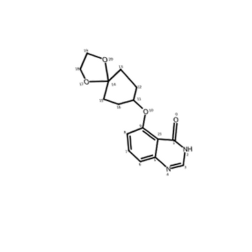 O=c1[nH]cnc2cccc(OC3CCC4(CC3)OCCO4)c12